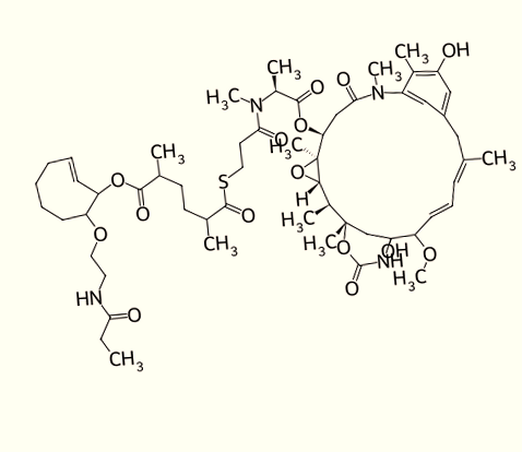 CCC(=O)NCCOC1CCCC/C=C/C1OC(=O)C(C)CCC(C)C(=O)SCCC(=O)N(C)[C@@H](C)C(=O)O[C@H]1CC(=O)N(C)c2cc(cc(O)c2C)C/C(C)=C/C=C/C(OC)C2(O)C[C@](C)(OC(=O)N2)[C@@H](C)[C@@H]2O[C@@]12C